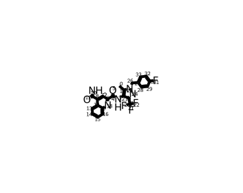 Cc1c(NC(=O)c2cc(C(N)=O)c3ccccc3n2)c(C(F)(F)F)nn1Cc1ccc(F)cc1